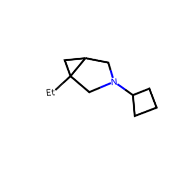 CCC12CC1CN(C1CCC1)C2